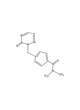 CN(C)C(=O)c1ccc(Cn2nccnc2=O)cc1